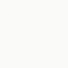 CC1C(c2cc(C(F)(F)F)cc(C(F)(F)F)c2)=[C]([Hf+2][CH]2C(c3cc(C(F)(F)F)cc(C(F)(F)F)c3)=Cc3ccccc32)c2ccccc21.[Cl-].[Cl-]